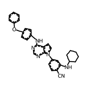 N#Cc1ccc(-n2ccc3c(Nc4ccc(Oc5ccccc5)cc4)ncnc32)cc1NC1CCCCC1